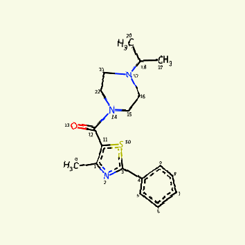 Cc1nc(-c2ccccc2)sc1C(=O)N1CCN(C(C)C)CC1